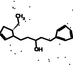 CC[C@H]1CC=CC1CCC(O)CCc1ccccc1